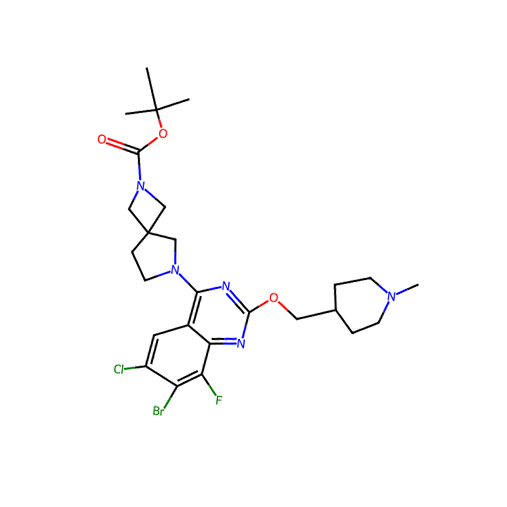 CN1CCC(COc2nc(N3CCC4(CN(C(=O)OC(C)(C)C)C4)C3)c3cc(Cl)c(Br)c(F)c3n2)CC1